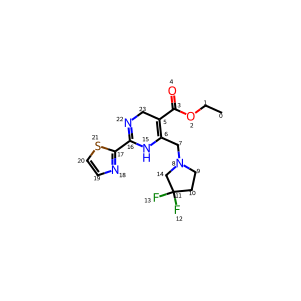 CCOC(=O)C1=C(CN2CCC(F)(F)C2)NC(c2nccs2)=NC1